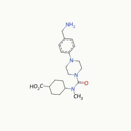 CN(C(=O)N1CCN(c2ccc(CN)cc2)CC1)C1CCC(C(=O)O)CC1